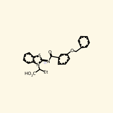 CCC(C(=O)O)n1/c(=N/C(=O)c2cccc(OCc3ccccc3)c2)sc2ccccc21